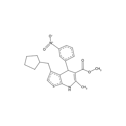 COC(=O)C1=C(C)Nc2scc(CC3CCCC3)c2C1c1cccc([N+](=O)[O-])c1